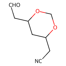 N#CCC1CC(CC=O)OCO1